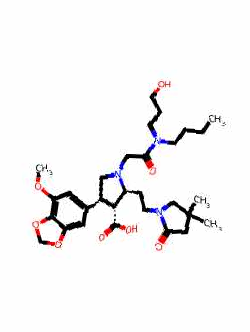 CCCCN(CCCO)C(=O)CN1C[C@H](c2cc(OC)c3c(c2)OCO3)[C@@H](C(=O)O)[C@@H]1CCN1CC(C)(C)CC1=O